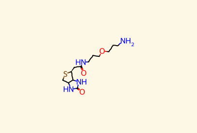 NCCCOCCCNC(=O)C[C@@H]1SCC2NC(=O)NC21